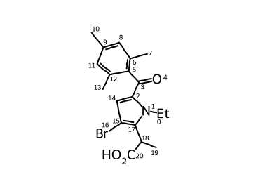 CCn1c(C(=O)c2c(C)cc(C)cc2C)cc(Br)c1C(C)C(=O)O